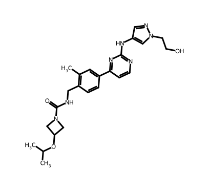 Cc1cc(-c2ccnc(Nc3cnn(CCO)c3)n2)ccc1CNC(=O)N1CC(OC(C)C)C1